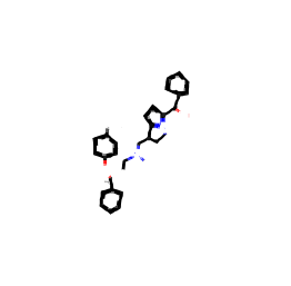 CN(CC[C@@H](Oc1ccc(C(F)(F)F)cc1)c1ccccc1)CC1CCn2c1ccc2C(O)c1ccccc1